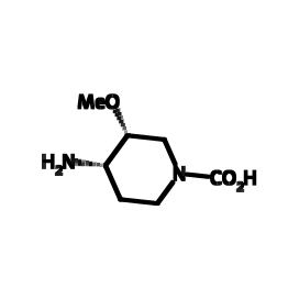 CO[C@@H]1CN(C(=O)O)CC[C@@H]1N